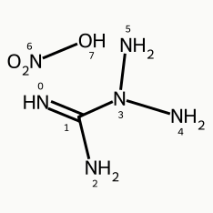 N=C(N)N(N)N.O=[N+]([O-])O